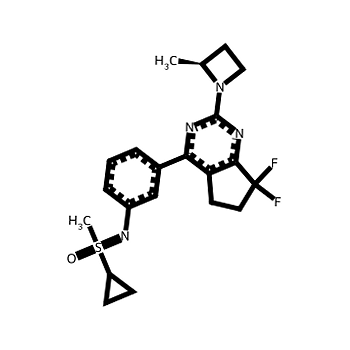 C[C@H]1CCN1c1nc(-c2cccc(N=S(C)(=O)C3CC3)c2)c2c(n1)C(F)(F)CC2